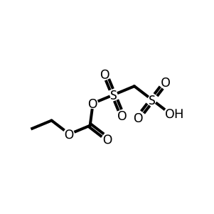 CCOC(=O)OS(=O)(=O)CS(=O)(=O)O